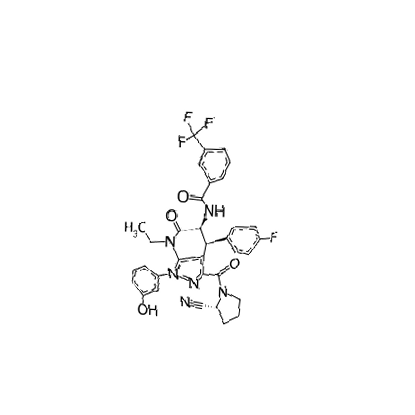 CCN1C(=O)[C@@H](NC(=O)c2cccc(C(F)(F)F)c2)[C@@H](c2ccc(F)cc2)c2c(C(=O)N3CCC[C@@H]3C#N)nn(-c3cccc(O)c3)c21